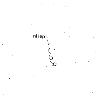 CCCCCCCCCCC/C=C/CCOCC1CO1